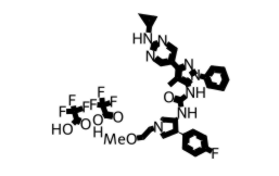 COCCN1C[C@@H](NC(=O)Nc2c(C)c(-c3cnc(NC4CC4)nc3)nn2-c2ccccc2)[C@H](c2ccc(F)cc2)C1.O=C(O)C(F)(F)F.O=C(O)C(F)(F)F